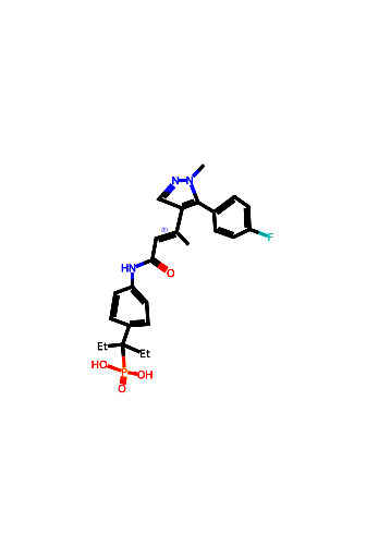 CCC(CC)(c1ccc(NC(=O)/C=C(\C)c2cnn(C)c2-c2ccc(F)cc2)cc1)P(=O)(O)O